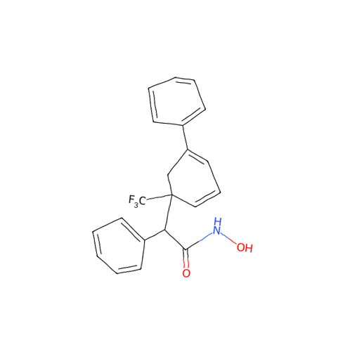 O=C(NO)C(c1ccccc1)C1(C(F)(F)F)C=CC=C(c2ccccc2)C1